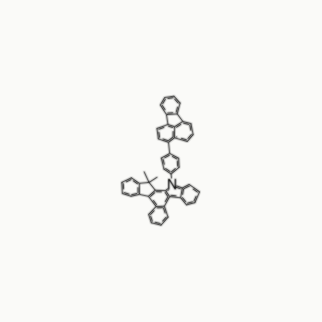 CC1(C)c2ccccc2-c2c1c1c(c3ccccc23)c2ccccc2n1-c1ccc(-c2ccc3c4c(cccc24)-c2ccccc2-3)cc1